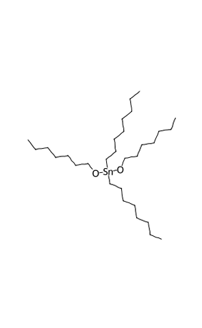 CCCCCCC[CH2][Sn]([CH2]CCCCCCC)([O]CCCCCCC)[O]CCCCCCC